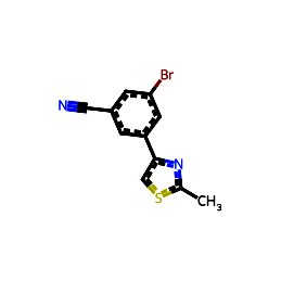 Cc1nc(-c2cc(Br)cc(C#N)c2)cs1